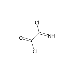 N=C(Cl)C(=O)Cl